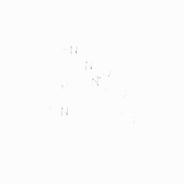 c1ccc(-c2ccc3oc(N4CCNCC4COc4cccnc4)nc3c2)cc1